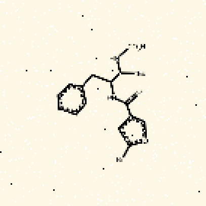 CC(C)(C)C(NC(=O)O)C(Cc1ccccc1)NC(=O)c1coc(Br)c1